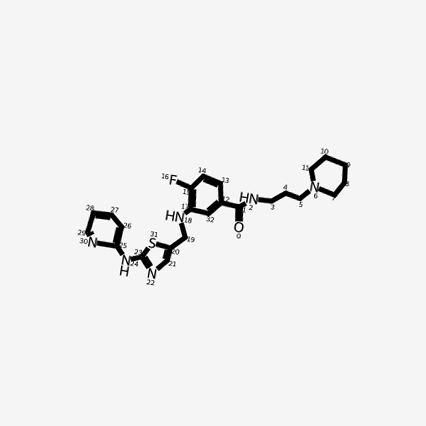 O=C(NCCCN1CCCCC1)c1ccc(F)c(NCc2cnc(Nc3ccccn3)s2)c1